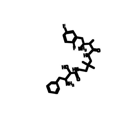 CC(C(=O)NCC(C)(C)CNC(=O)C(O)C(N)Cc1ccccc1)C(N)Cc1cc(F)ccc1F